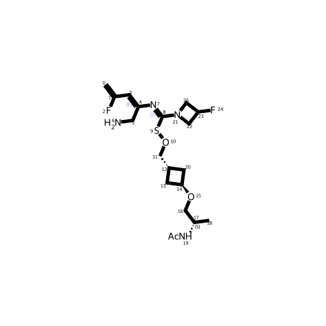 C=C(F)/C=C(CN)/N=C(\SOC[C@H]1C[C@H](OC[C@H](C)NC(C)=O)C1)N1CC(F)C1